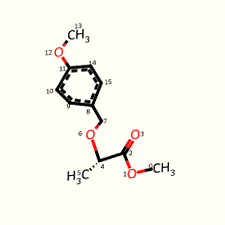 COC(=O)[C@H](C)OCc1ccc(OC)cc1